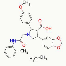 CC.COc1ccc(C2C(C(=O)O)C(c3ccc4c(c3)OCO4)CN2CC(=O)Nc2ccccc2C)cc1